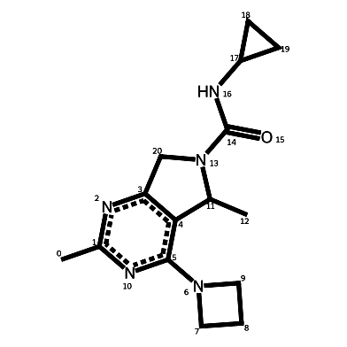 Cc1nc2c(c(N3CCC3)n1)C(C)N(C(=O)NC1CC1)C2